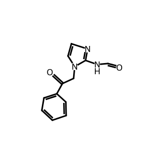 O=CNc1nccn1CC(=O)c1ccccc1